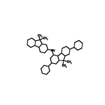 CC1(C)C2CCCCC2C2CCC(NC3CC(C4CCCCC4)CC4C3C3CCC(C5CCCCC5)CC3C4(C)C)CC21